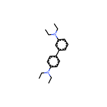 CCN(CC)c1ccc(-c2[c]ccc(N(CC)CC)c2)cc1